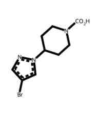 O=C(O)N1CCC(n2cc(Br)cn2)CC1